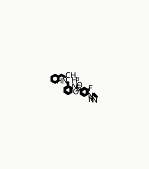 CC(CC1CCCCC1)NCc1ccccc1NS(=O)(=O)c1ccc(-n2ccnn2)c(F)c1